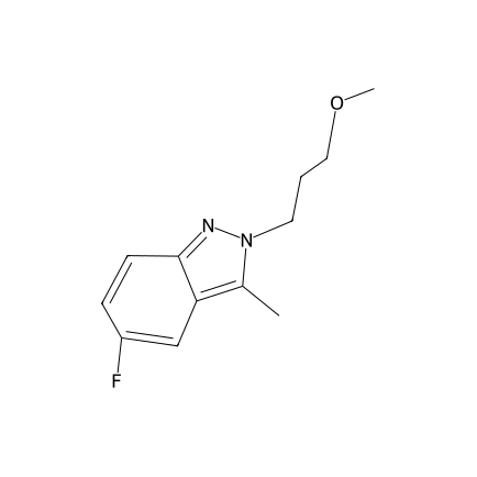 COCCCn1nc2ccc(F)cc2c1C